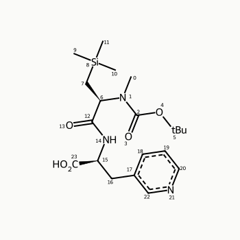 CN(C(=O)OC(C)(C)C)[C@H](C[Si](C)(C)C)C(=O)N[C@@H](Cc1cccnc1)C(=O)O